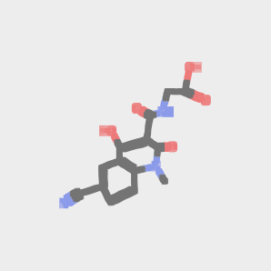 Cn1c(=O)c(C(=O)NCC(=O)O)c(O)c2cc(C#N)ccc21